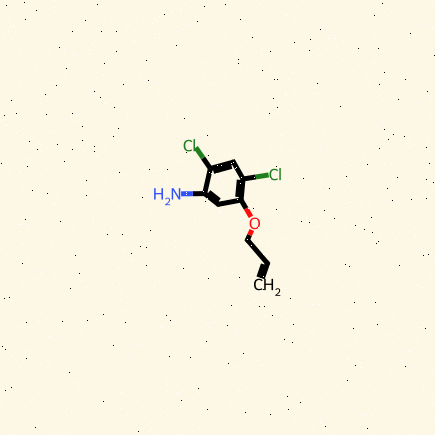 C=CCOc1cc(N)c(Cl)cc1Cl